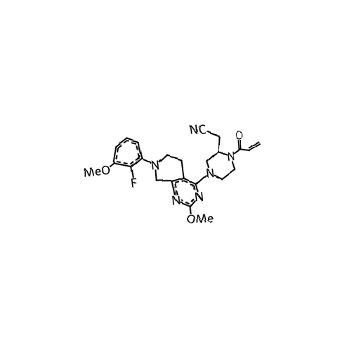 C=CC(=O)N1CCN(c2nc(OC)nc3c2CCN(c2cccc(OC)c2F)C3)CC1CC#N